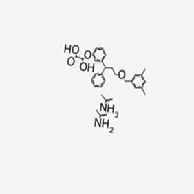 C=C(C)N.C=C(C)N.Cc1cc(C)cc(COCCC(c2ccccc2)c2ccccc2)c1.O=C(O)C(=O)O